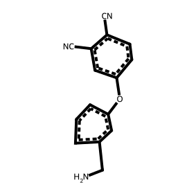 N#Cc1ccc(Oc2cccc(CN)c2)cc1C#N